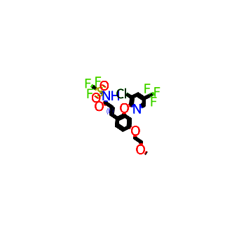 COCCOc1ccc(/C=C/C(=O)NS(=O)(=O)C(F)(F)F)c(Oc2ncc(C(F)(F)F)cc2Cl)c1